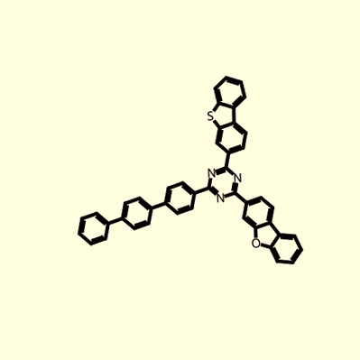 c1ccc(-c2ccc(-c3ccc(-c4nc(-c5ccc6c(c5)oc5ccccc56)nc(-c5ccc6c(c5)sc5ccccc56)n4)cc3)cc2)cc1